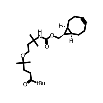 CC(C)(CCOC(C)(C)CCC(=O)C(C)(C)C)NC(=O)OC[C@@H]1[C@@H]2CCC#CCC[C@@H]21